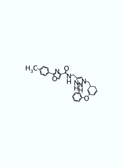 Cc1ccc(-c2nc(C(=O)NCC3=CN(CC4C=C(Oc5ccccc5)C=CC4)NN3)co2)cc1